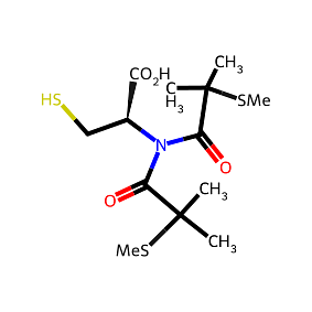 CSC(C)(C)C(=O)N(C(=O)C(C)(C)SC)[C@@H](CS)C(=O)O